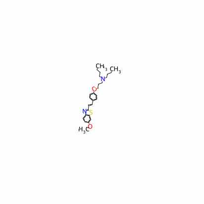 CCCCN(CCCC)CCCOc1ccc(C=Cc2nc3ccc(OC)cc3s2)cc1